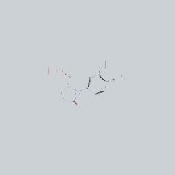 N#Cc1ccc(N2C(=O)CCC2CO)cc1C(F)(F)F